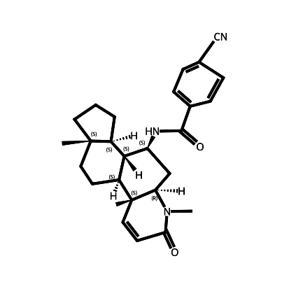 CN1C(=O)C=C[C@]2(C)[C@H]3CC[C@]4(C)CCC[C@H]4[C@@H]3[C@@H](NC(=O)c3ccc(C#N)cc3)C[C@@H]12